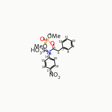 COP(=O)(OC)OC(Cc1ccccc1)N(c1ccc([N+](=O)[O-])cc1)S(=O)(=O)O